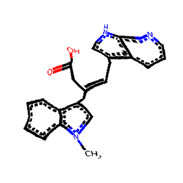 Cn1cc(C(=Cc2c[nH]c3ncccc23)C(=O)O)c2ccccc21